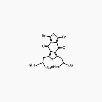 CCCCCCC(CCCC)Cc1sc(CC(CCCC)CCCCCC)c2c1C(=O)c1c(Br)sc(Br)c1C2=O